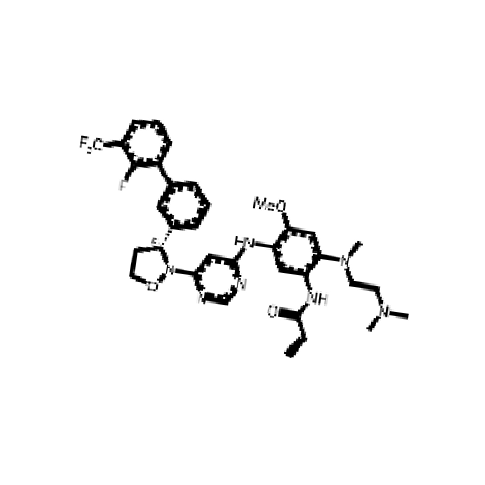 C=CC(=O)Nc1cc(Nc2cc(N3OCC[C@@H]3c3cccc(-c4cccc(C(F)(F)F)c4F)c3)ncn2)c(OC)cc1N(C)CCN(C)C